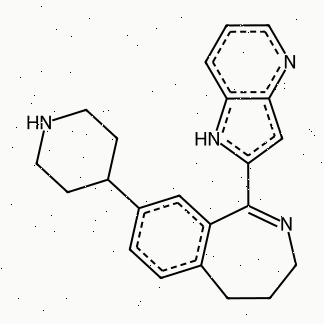 c1cnc2cc(C3=NCCCc4ccc(C5CCNCC5)cc43)[nH]c2c1